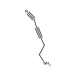 N#CC#CCCN